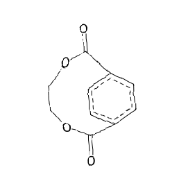 O=C1OCCOC(=O)c2ccc1cc2